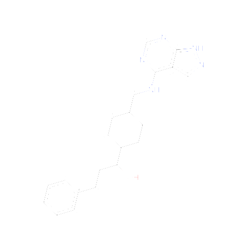 OC(CCc1ccccc1)C1CCC(CNc2ncnc3[nH]ncc23)CC1